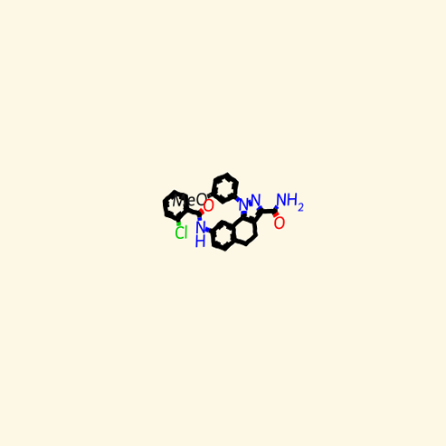 COc1cccc(-n2nc(C(N)=O)c3c2-c2cc(NC(=O)c4ccccc4Cl)ccc2CC3)c1